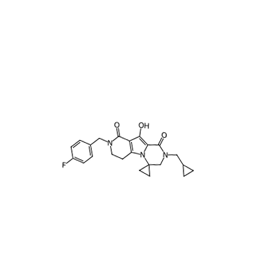 O=C1c2c(O)c3n(c2CCN1Cc1ccc(F)cc1)C1(CC1)CN(CC1CC1)C3=O